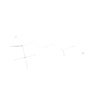 CC(C)(C)CNCCCC1(C(C)(C)C)CC1